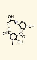 Cc1cc([N+](=O)[O-])cc([N+](=O)[O-])c1O.O=C(O)/C=C/c1ccc(O)cc1